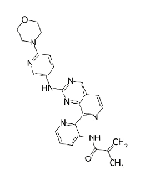 C=C(C)C(=O)Nc1cccnc1-c1nccc2cnc(Nc3ccc(N4CCOCC4)nc3)nc12